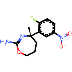 C[C@@]1(c2cc([N+](=O)[O-])ccc2F)CCCOC(N)=N1